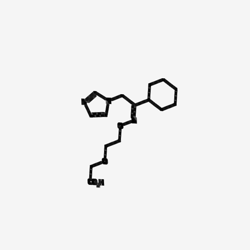 O=C(O)COCCON=C(Cn1ccnc1)C1CCCCC1